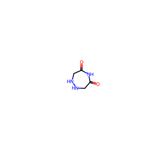 O=C1CNNCC(=O)N1